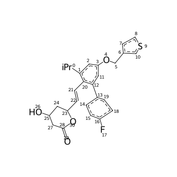 CC(C)c1cc(OCc2ccsc2)cc(-c2ccc(F)cc2)c1/C=C/C1CC(O)CC(=O)O1